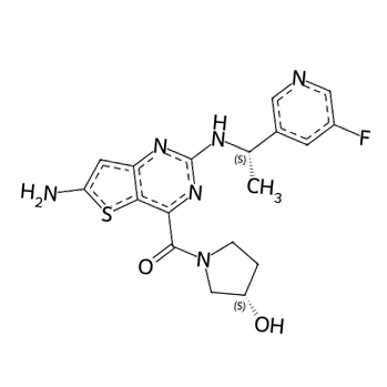 C[C@H](Nc1nc(C(=O)N2CC[C@H](O)C2)c2sc(N)cc2n1)c1cncc(F)c1